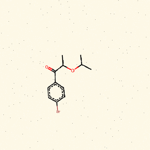 CC(C)OC(C)C(=O)c1ccc(Br)cc1